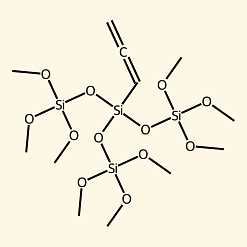 C=C=C[Si](O[Si](OC)(OC)OC)(O[Si](OC)(OC)OC)O[Si](OC)(OC)OC